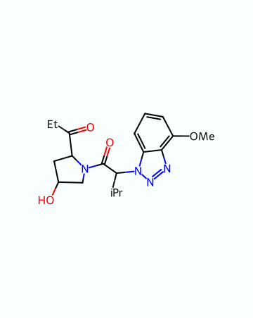 CCC(=O)C1CC(O)CN1C(=O)C(C(C)C)n1nnc2c(OC)cccc21